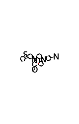 COc1ccc(N(c2ccc3sc4ccccc4c3c2)c2cccc3c2c2ccccc2n3-c2ccc(C#N)cc2)cc1